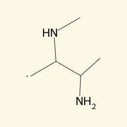 [CH2]C(NC)C(C)N